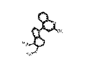 COc1ccc2c(ccn2-c2cc(C)nc3ccccc23)c1N